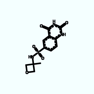 CC1(NS(=O)(=O)c2ccc3[nH]c(=O)[nH]c(=O)c3c2)COC1